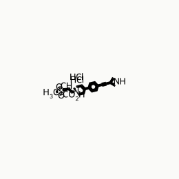 CC(CCN1CC=C(c2ccc(C#CC3CNC3)cc2)CC1)(C(=O)O)S(C)(=O)=O.Cl.Cl